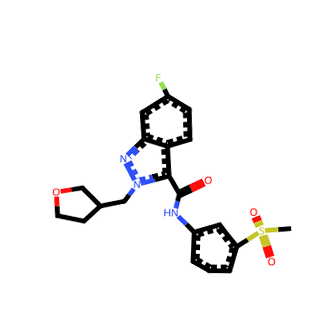 CS(=O)(=O)c1cccc(NC(=O)c2c3ccc(F)cc3nn2CC2CCOC2)c1